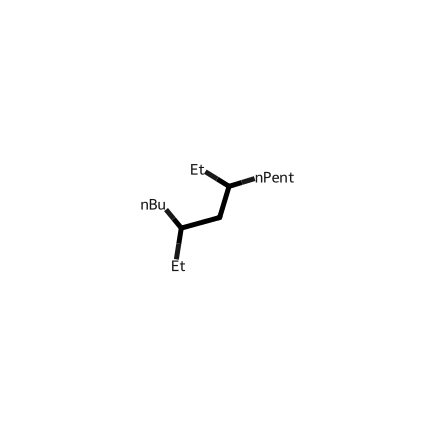 CCCCCC(CC)CC(CC)CCCC